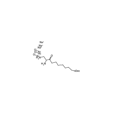 CC(=O)[O-].CC(=O)[O-].CC(=O)[O-].CCCCCCCCCCCCCCCCCC(=O)C(N)CN.[Na+].[Na+].[Na+]